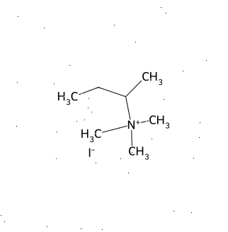 CCC(C)[N+](C)(C)C.[I-]